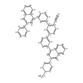 CC1C=CC(c2nc(-c3cccc(-c4ccc(C#N)c(-c5cccc(-c6nc(-c7ccccc7)nc7ccccc67)c5)c4)c3)c3ccccc3n2)=CC1